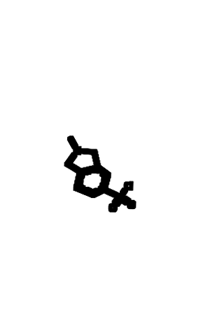 CN1Cc2ccc(S(=O)(=O)Cl)cc2C1